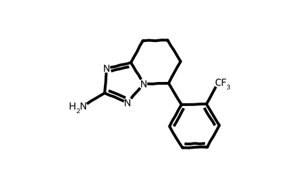 Nc1nc2n(n1)C(c1ccccc1C(F)(F)F)CCC2